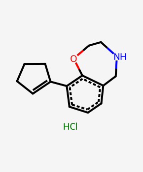 C1=C(c2cccc3c2OCCNC3)CCC1.Cl